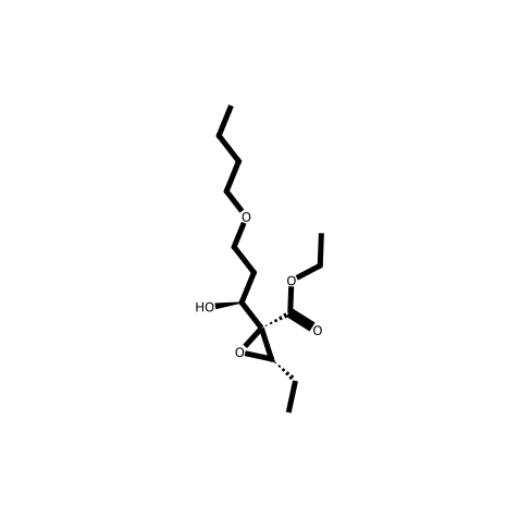 CCCCOCC[C@H](O)[C@]1(C(=O)OCC)O[C@H]1CC